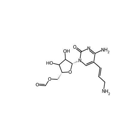 NC/C=C/c1cn([C@@H]2O[C@H](COC=O)C(O)C2O)c(=O)nc1N